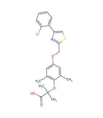 Cc1cc(OCc2nc(-c3ccccc3Cl)cs2)cc(C)c1OC(C)(C)C(=O)O